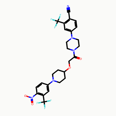 N#Cc1ccc(N2CCN(C(=O)COC3CCN(c4ccc([N+](=O)[O-])c(C(F)(F)F)c4)CC3)CC2)cc1C(F)(F)F